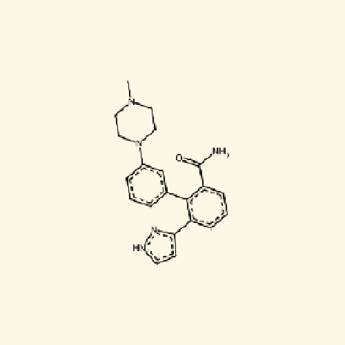 CN1CCN(c2cccc(-c3c(-c4cc[nH]n4)[c]ccc3C(N)=O)c2)CC1